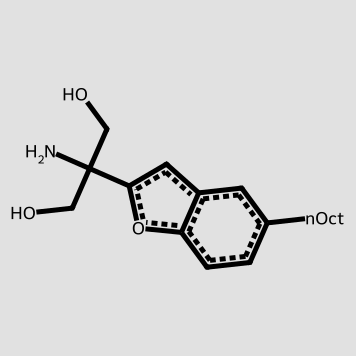 CCCCCCCCc1ccc2oc(C(N)(CO)CO)cc2c1